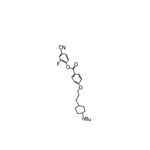 CCCCC1CCC(CCCOc2ccc(C(=O)Oc3ccc(C#N)cc3F)cc2)CC1